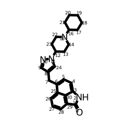 O=C1Nc2ccc(Cc3cnn(C4CCN(C5CCCCC5)CC4)c3)c3cccc1c23